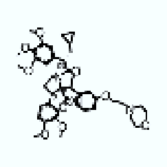 CCC(c1cccc(OCCN2CCOCC2)c1)[C@@]1(C(=O)O)[C@@H](c2ccc(OC)c(OC)c2)CCN1C(=O)[C@@H](CC1CC1)c1cc(OC)c(OC)c(OC)c1